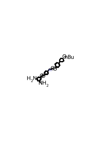 CCCCOC1CCC(c2ccc(OO/C=C/c3ccc(OOc4cc(N)cc(N)c4)cc3)cc2)CC1